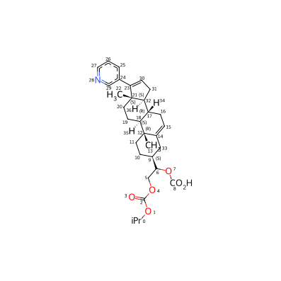 CC(C)OC(=O)OCC(OC(=O)O)[C@H]1CC[C@@]2(C)C(=CC[C@@H]3[C@@H]2CC[C@]2(C)C(c4cccnc4)=CC[C@@H]32)C1